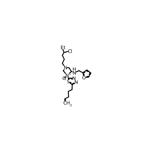 C=CCCCc1nnc([N+]2([O-])CN(CCCC(Cl)CC)CC2NCc2ccco2)s1